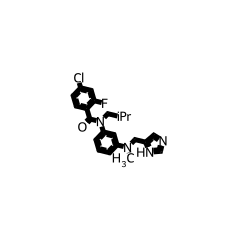 CC(C)CN(C(=O)c1ccc(Cl)cc1F)c1cccc(N(C)Cc2cnc[nH]2)c1